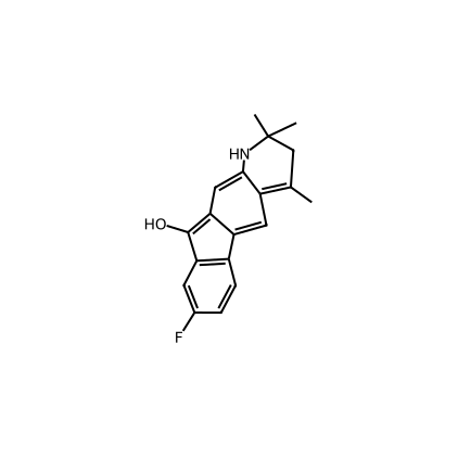 CC1=c2cc3c(cc2NC(C)(C)C1)=C(O)c1cc(F)ccc1-3